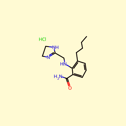 CCCCc1cccc(C(N)=O)c1NCC1=NCCN1.Cl